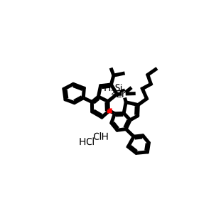 CCCCCC1=Cc2c(-c3ccccc3)ccc(C)c2[CH]1[Zr]([CH3])([CH3])(=[SiH2])[CH]1C(C(C)C)=Cc2c(-c3ccccc3)cccc21.Cl.Cl